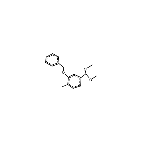 COC(OC)c1ccc(C)c(OCc2ccccc2)c1